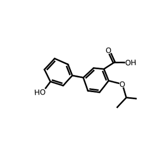 CC(C)Oc1ccc(-c2cccc(O)c2)cc1C(=O)O